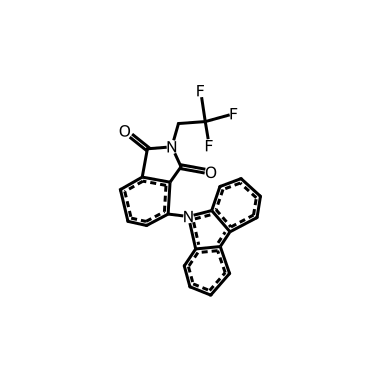 O=C1c2cccc(-n3c4ccccc4c4ccccc43)c2C(=O)N1CC(F)(F)F